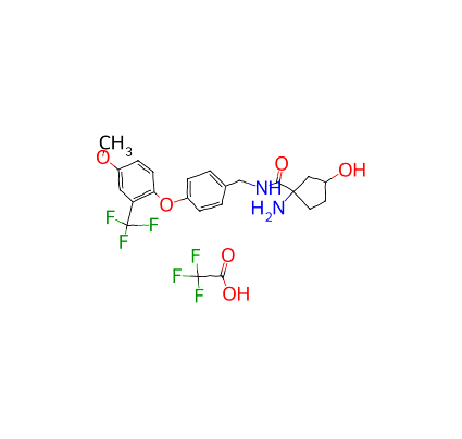 COc1ccc(Oc2ccc(CNC(=O)C3(N)CCC(O)C3)cc2)c(C(F)(F)F)c1.O=C(O)C(F)(F)F